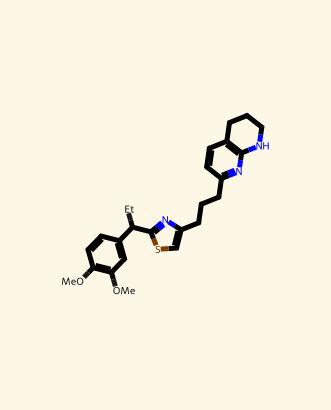 CCC(c1ccc(OC)c(OC)c1)c1nc(CCCc2ccc3c(n2)NCCC3)cs1